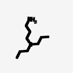 CCCB(CCC)CCCN